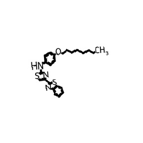 CCCCCCCCOc1ccc(Nc2nc(-c3nc4ccccc4s3)cs2)cc1